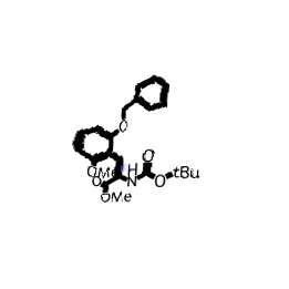 COC(=O)/C(=C\c1c(OC)cccc1OCc1ccccc1)NC(=O)OC(C)(C)C